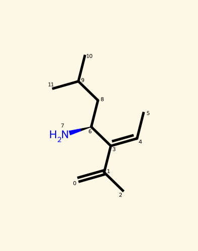 C=C(C)C(=CC)[C@@H](N)CC(C)C